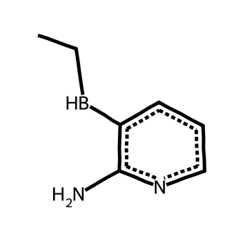 CCBc1cccnc1N